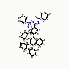 CC(/N=C(\N=C(/N)C1=CCCC=C1)c1cccc(-c2ccccc2-c2cc3ccccc3cc2-c2ccccc2-c2ccccc2)c1)C1=CC=CCC1